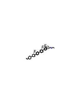 C=CC1CCC(C2CC=C(c3ccc(-c4ccc(-c5ccc(OC/C=C/CC)c(F)c5F)cc4)cc3F)CC2)CC1